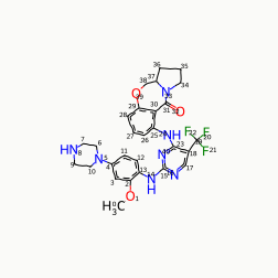 COc1cc(N2CCNCC2)ccc1Nc1ncc(C(F)(F)F)c(Nc2cccc3c2C(=O)N2CCCC2CO3)n1